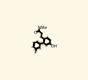 CNC(=O)CCc1ccc(O)cc1-c1cccc(F)c1